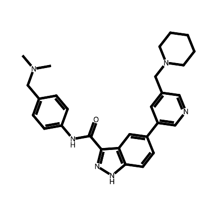 CN(C)Cc1ccc(NC(=O)c2n[nH]c3ccc(-c4cncc(CN5CCCCC5)c4)cc23)cc1